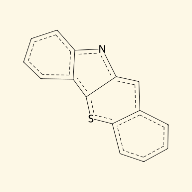 c1ccc2sc3c4ccccc4nc-3cc2c1